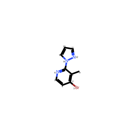 Cc1c(Br)ccnc1-n1cccn1